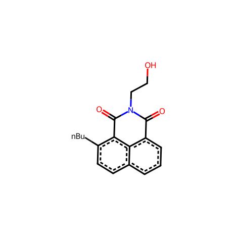 CCCCc1ccc2cccc3c2c1C(=O)N(CCO)C3=O